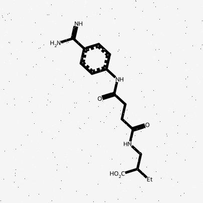 CCC(CNC(=O)CCC(=O)Nc1ccc(C(=N)N)cc1)C(=O)O